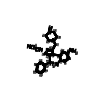 Cl.Cl.Nc1ccc(N)c(-c2c(Cc3ccccc3)csc2CN2CCNCC2)c1